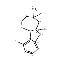 CC1(Cl)CCCC2c3c(F)cccc3O[C@@H]2C1